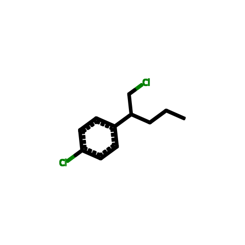 CCCC(CCl)c1ccc(Cl)cc1